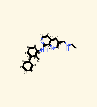 CCNCc1cnc2c(Nc3cccc(-c4ccccc4)c3C)nccc2c1